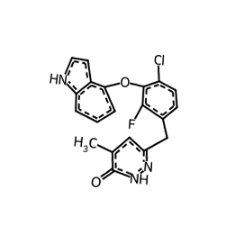 Cc1cc(Cc2ccc(Cl)c(Oc3cccc4[nH]ccc34)c2F)n[nH]c1=O